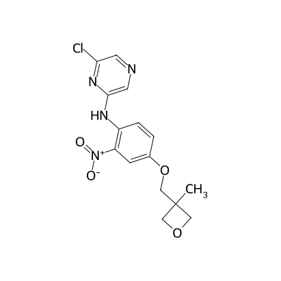 CC1(COc2ccc(Nc3cncc(Cl)n3)c([N+](=O)[O-])c2)COC1